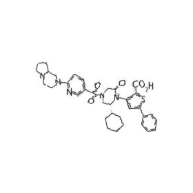 O=C(O)c1sc(-c2ccccc2)cc1N1C(=O)CN(S(=O)(=O)c2ccc(N3CCN4CCCC4C3)nc2)C[C@H]1C1CCCCC1